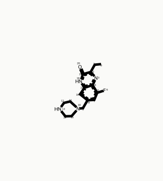 CCc1nc2c(F)cc(CN3CCNCC3)cc2[nH]c1=O